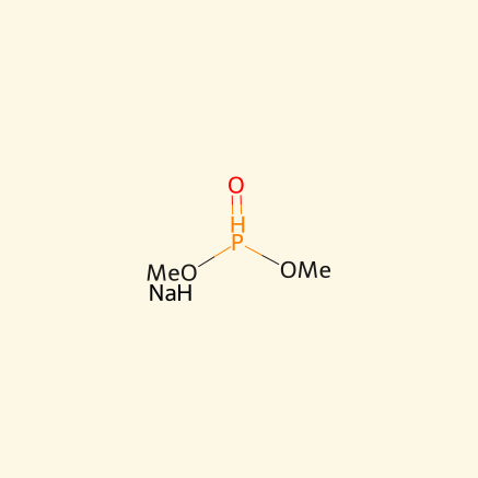 CO[PH](=O)OC.[NaH]